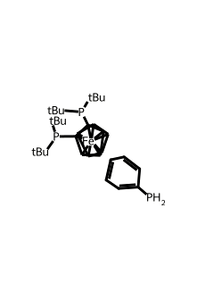 CC(C)(C)P(C(C)(C)C)[C]12[CH]3[CH]4[CH]5[C]1(P(C(C)(C)C)C(C)(C)C)[Fe]43521678[CH]2[CH]1[CH]6[CH]7[CH]28.Pc1ccccc1